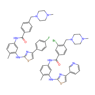 Cc1ccc(NC(=O)c2ccc(CN3CCN(C)CC3)c(Br)c2)cc1Nc1nc(-c2cccnc2)cs1.Cc1ccc(NC(=O)c2ccc(CN3CCN(C)CC3)cc2)cc1Nc1nc(-c2ccc(F)cc2)cs1